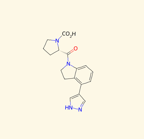 O=C([C@@H]1CCCN1C(=O)O)N1CCc2c(-c3cn[nH]c3)cccc21